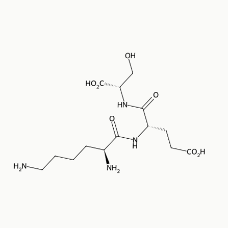 NCCCC[C@H](N)C(=O)N[C@@H](CCC(=O)O)C(=O)N[C@@H](CO)C(=O)O